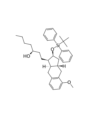 CCCC[C@H](O)CC[C@@H]1[C@@H]2Cc3cccc(OC)c3C[C@H]2C[C@@H]1O[Si](c1ccccc1)(c1ccccc1)C(C)(C)C